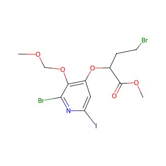 COCOc1c(OC(CCBr)C(=O)OC)cc(I)nc1Br